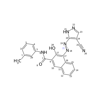 Cc1cccc(NC(=O)c2cc3ccccc3c(/N=N/c3[nH]ncc3C#N)c2O)c1